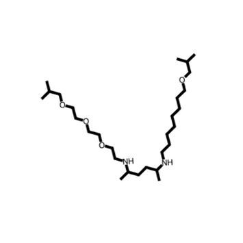 CC(C)COCCCCCCCCNC(C)CCC(C)NCCOCCOCCOCC(C)C